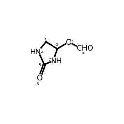 O=COC1CNC(=O)N1